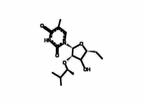 CC[C@H]1O[C@@H](n2cc(C)c(=O)[nH]c2=O)[C@@H](O[C@@H](C)C(C)C)C1O